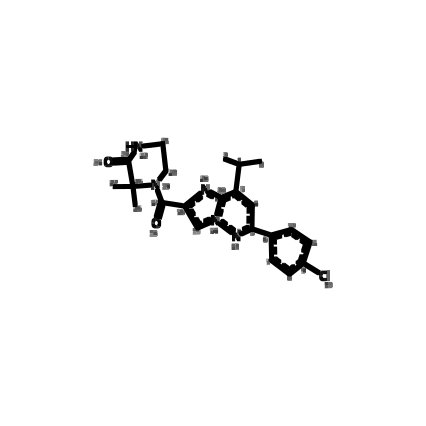 CC(C)c1cc(-c2ccc(Cl)cc2)nn2cc(C(=O)N3CCNC(=O)C3(C)C)nc12